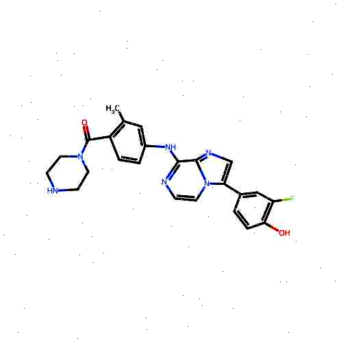 Cc1cc(Nc2nccn3c(-c4ccc(O)c(F)c4)cnc23)ccc1C(=O)N1CCNCC1